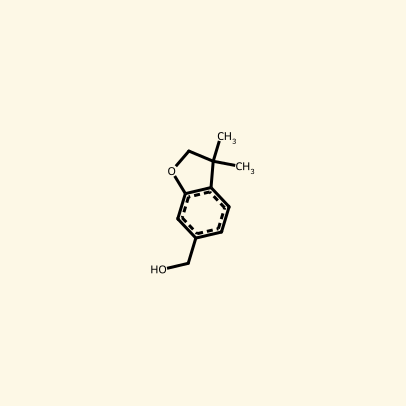 CC1(C)COc2cc(CO)ccc21